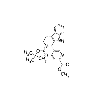 COC(=O)c1ccc([C@H]2c3[nH]c4ccccc4c3CCN2C(=O)OC(C)(C)C)cn1